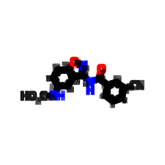 N#Cc1cccc(C(=O)Nc2noc3ccc(NC(=O)O)cc23)c1